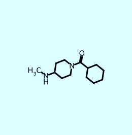 CNC1CCN(C(=O)C2CCCCC2)CC1